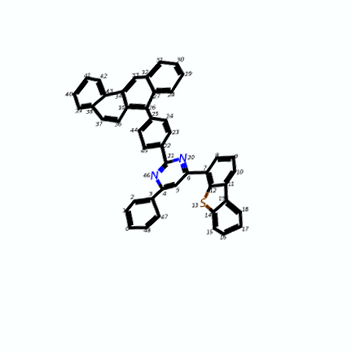 c1ccc(-c2cc(-c3cccc4c3sc3ccccc34)nc(-c3ccc(-c4c5ccccc5cc5c4ccc4ccccc45)cc3)n2)cc1